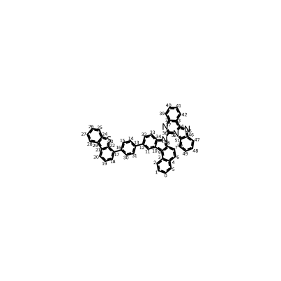 c1ccc2c(c1)ccc1c2c2cc(-c3ccc(-c4cccc5c4sc4ccccc45)cc3)ccc2n1-c1nc2ccccc2c2nc3ccccc3n12